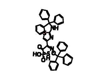 O=C(/C(=N\OC(c1ccccc1)(c1ccccc1)c1ccccc1)c1csc(NC(c2ccccc2)(c2ccccc2)c2ccccc2)n1)P(=O)(O)S